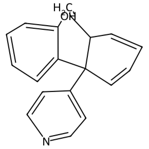 C=CC1C=CC=CC1(c1ccncc1)c1ccccc1O